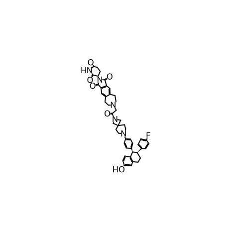 O=C1CCC(N2C(=O)c3cc4c(cc3C2=O)CCN(CC(=O)N2CC3(CCN(c5ccc([C@@H]6c7ccc(O)cc7CC[C@@H]6c6ccc(F)cc6)cc5)CC3)C2)CC4)C(=O)N1